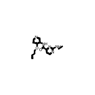 C=CCCOc1ccncc1NC(=O)c1ccnc(NCC)n1